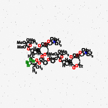 CC1(C)[C@H](C(=O)O[C@H](C#N)c2cccc(Oc3ccccc3)c2)[C@@H]1C(Br)C(Br)(Br)Br.CC[C@H]1CCC[C@H](O[C@H]2CC[C@H](N(C)C)[C@@H](C)O2)[C@@H](C)C(=O)C2=C[C@@H]3[C@@H](C=C(C)[C@@H]4C[C@@H](O[C@@H]5O[C@@H](C)[C@H](OC)[C@@H](OC)[C@H]5OC)C[C@@H]34)[C@@H]2CC(=O)O1.CC[C@H]1CCC[C@H](O[C@H]2CC[C@H](N(C)C)[C@@H](C)O2)[C@@H](C)C(=O)C2=C[C@@H]3[C@@H](C=C[C@@H]4C[C@@H](O[C@@H]5O[C@@H](C)[C@H](OC)[C@@H](OC)[C@H]5OC)C[C@@H]34)[C@@H]2CC(=O)O1